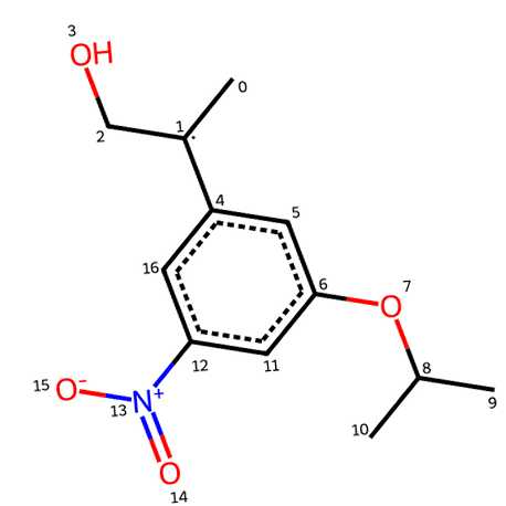 C[C](CO)c1cc(OC(C)C)cc([N+](=O)[O-])c1